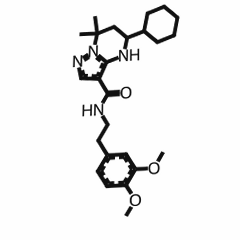 COc1ccc(CCNC(=O)c2cnn3c2NC(C2CCCCC2)CC3(C)C)cc1OC